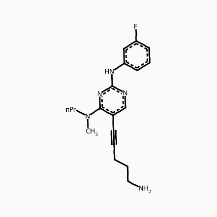 CCCN(C)c1nc(Nc2cccc(F)c2)ncc1C#CCCCN